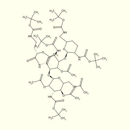 CC(=O)OCC1O[C@H](O[C@@H]2C(OC(C)=O)C(O[C@H]3OC(CNC(=O)OC(C)(C)C)CCC3NC(=O)OC(C)(C)C)[C@H](NC(=O)OC(C)(C)C)C[C@H]2NC(=O)[C@H](CCNC(=O)OC(C)(C)C)OC(C)=O)C(OC(C)=O)[C@@H](NC(=O)OC(C)(C)C)[C@@H]1OC(C)=O